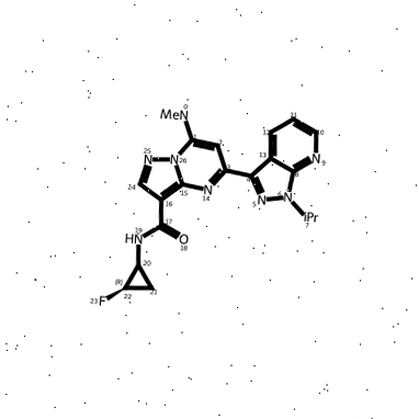 CNc1cc(-c2nn(C(C)C)c3ncccc23)nc2c(C(=O)NC3C[C@H]3F)cnn12